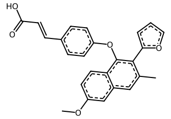 COc1ccc2c(Oc3ccc(C=CC(=O)O)cc3)c(-c3ccco3)c(C)cc2c1